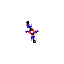 N#CCCOP1(=O)N[C@H]2[C@@H](O)[C@H](n3cnc4c(NC(=O)c5ccccc5)ncnc43)O[C@@H]2COP(=O)(OCCC#N)N[C@H]2C[C@H](n3cnc4c(NC(=O)c5ccccc5)ncnc43)O[C@@H]2CO1